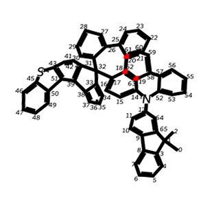 CC1(C)c2ccccc2-c2ccc(N(c3ccc4c(c3)-c3ccccc3-c3ccccc3C43c4ccccc4-c4c3ccc3sc5ccccc5c43)c3ccccc3-c3ccccc3)cc21